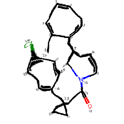 Cc1ccccc1C1C=CN(C(=O)C2(c3ccc(Cl)cc3)CC2)C1